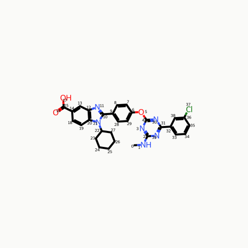 CNc1nc(Oc2ccc(-c3nc4cc(C(=O)O)ccc4n3C3CCCCC3)cc2)nc(-c2cccc(Cl)c2)n1